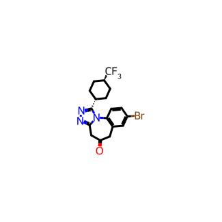 O=C1Cc2cc(Br)ccc2-n2c(nnc2[C@H]2CC[C@H](C(F)(F)F)CC2)C1